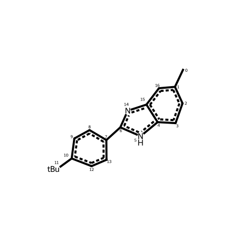 Cc1ccc2[nH]c(-c3ccc(C(C)(C)C)cc3)nc2c1